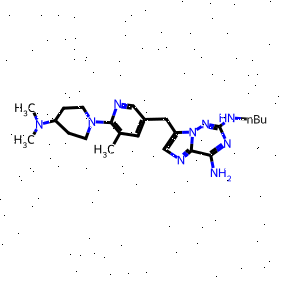 CCCCNc1nc(N)c2ncc(Cc3cnc(N4CCC(N(C)C)CC4)c(C)c3)n2n1